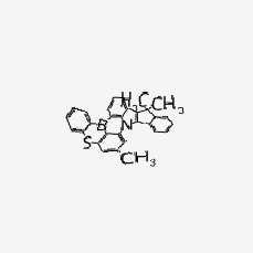 Cc1cc2c3c(c1)-n1c4c(c5cccc(c51)B3c1ccccc1S2)C(C)(C)c1ccccc1-4